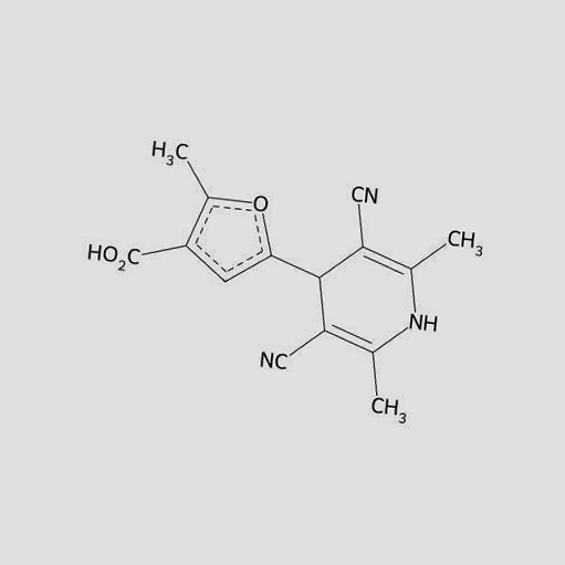 CC1=C(C#N)C(c2cc(C(=O)O)c(C)o2)C(C#N)=C(C)N1